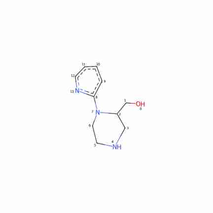 OCC1CNCCN1c1[c]cccn1